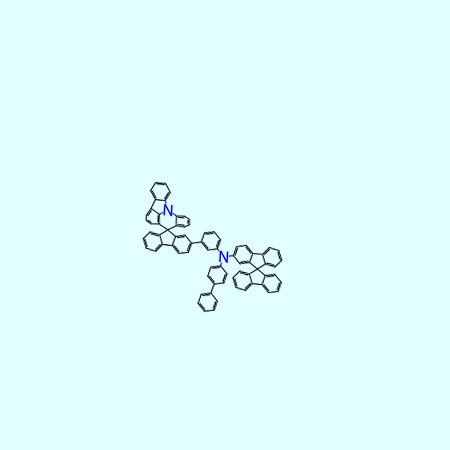 c1ccc(-c2ccc(N(c3cccc(-c4ccc5c(c4)C4(c6ccccc6-5)c5ccccc5-n5c6ccccc6c6cccc4c65)c3)c3ccc4c(c3)C3(c5ccccc5-c5ccccc53)c3ccccc3-4)cc2)cc1